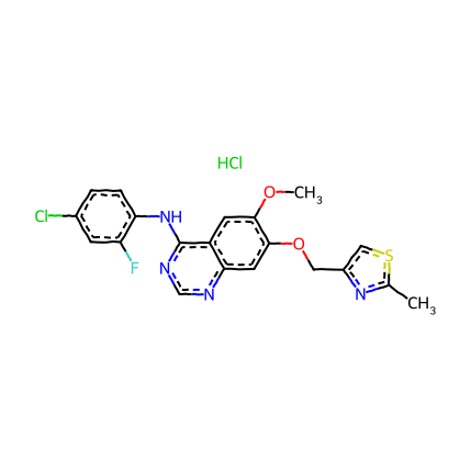 COc1cc2c(Nc3ccc(Cl)cc3F)ncnc2cc1OCc1csc(C)n1.Cl